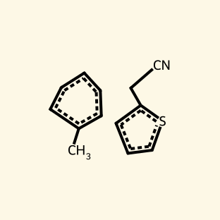 Cc1ccccc1.N#CCc1cccs1